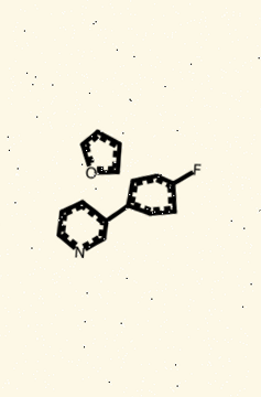 Fc1ccc(-c2cccnc2)cc1.c1ccoc1